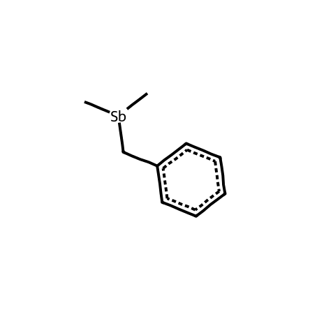 [CH3][Sb]([CH3])[CH2]c1ccccc1